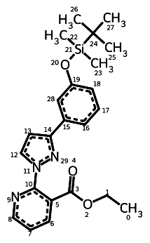 CCOC(=O)c1cccnc1-n1ccc(-c2cccc(O[Si](C)(C)C(C)(C)C)c2)n1